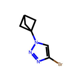 Brc1cn(C23CC(C2)C3)nn1